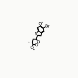 COC(=O)[C@H](C)CC(=O)c1cc2cc(Br)c(OC)cc2s1